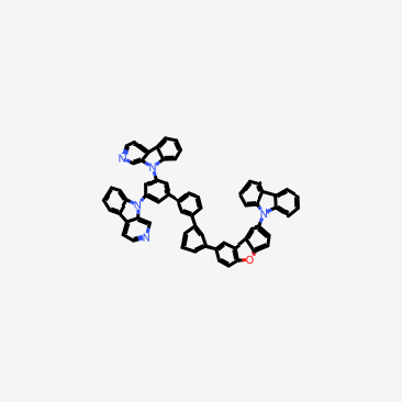 c1cc(-c2cccc(-c3ccc4oc5ccc(-n6c7ccccc7c7ccccc76)cc5c4c3)c2)cc(-c2cc(-n3c4ccccc4c4ccncc43)cc(-n3c4ccccc4c4ccncc43)c2)c1